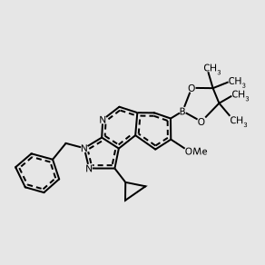 COc1cc2c(cnc3c2c(C2CC2)nn3Cc2ccccc2)cc1B1OC(C)(C)C(C)(C)O1